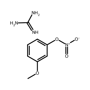 COc1cccc(O[N+](=O)[O-])c1.N=C(N)N